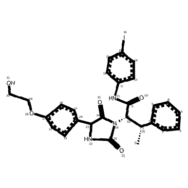 C[C@@H](c1ccccc1)[C@@H](C(=O)Nc1ccc(I)cc1)N1C(=O)NC(c2ccc(OCCO)cc2)C1=O